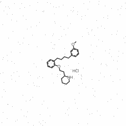 COc1cccc(CCCCc2ccccc2OCCC2CCCCN2)c1.Cl